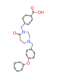 O=C(O)c1ccc(CN2CCN(Cc3ccc(Oc4ccccc4)cc3)CCC2=O)cc1